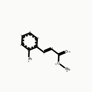 CC(C)c1ccccc1C=CC(=O)OC(C)(C)C